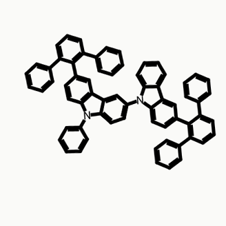 c1ccc(-c2cccc(-c3ccccc3)c2-c2ccc3c(c2)c2ccccc2n3-c2ccc3c(c2)c2cc(-c4c(-c5ccccc5)cccc4-c4ccccc4)ccc2n3-c2ccccc2)cc1